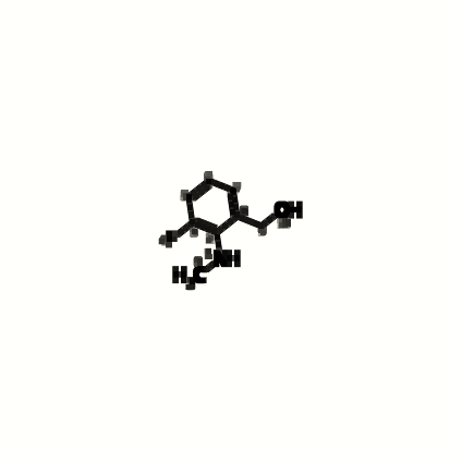 CNc1c(F)cccc1CO